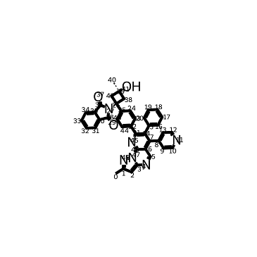 Cc1cc2ncc3c(-c4ccncc4)c(-c4ccccc4)c(-c4ccc([C@]5(N6C(=O)c7ccccc7C6=O)C[C@](C)(O)C5)cc4)nc3n2n1